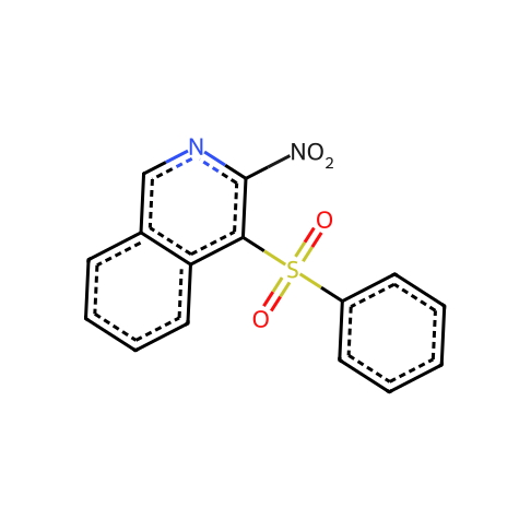 O=[N+]([O-])c1ncc2ccccc2c1S(=O)(=O)c1ccccc1